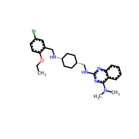 CCOc1ccc(Br)cc1CN[C@H]1CC[C@@H](CNc2nc(N(C)C)c3ccccc3n2)CC1